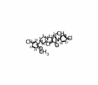 CCn1c(CN2CCN(c3cc(Cl)ccc3OC)CC2)c(Cl)c(=O)n1-c1ccc(Cl)cc1